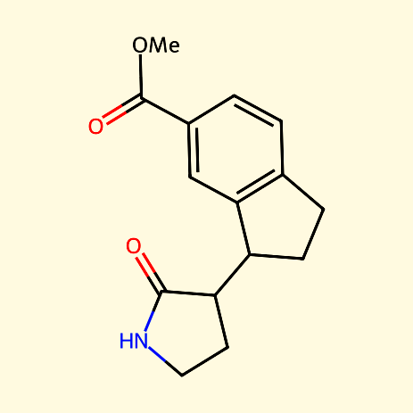 COC(=O)c1ccc2c(c1)C(C1CCNC1=O)CC2